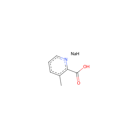 Cc1cccnc1C(=O)O.[NaH]